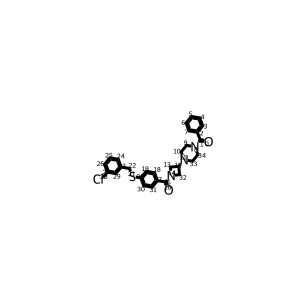 O=C(c1ccccc1)N1CCN(C2CN(C(=O)c3ccc(SCc4cccc(Cl)c4)cc3)C2)CC1